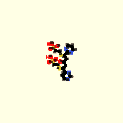 O=C(CC(SCCS(=O)(=O)O)c1ccncn1)CC(SCCS(=O)(=O)O)c1ncccn1